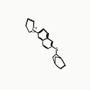 c1cc2cc([S+]3CCCC3)ccc2cc1SC1CC2CCC1C2